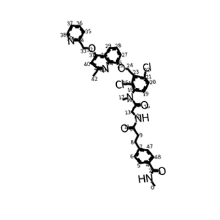 CNC(=O)c1ccc(CCC(=O)NCC(=O)N(C)c2ccc(Cl)c(COc3cccc4c(OCc5ccccn5)cc(C)nc34)c2Cl)cc1